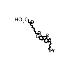 CC(C)CCC[C@@H](C)[C@H]1CCC2C3C(=O)C=C4C[C@@H](OC(=O)CCCCCCCC(=O)CCC(=O)O)CC[C@]4(C)C3CC[C@@]21C